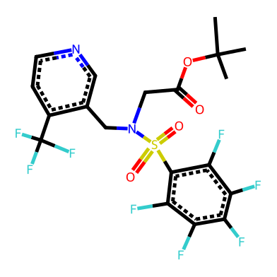 CC(C)(C)OC(=O)CN(Cc1cnccc1C(F)(F)F)S(=O)(=O)c1c(F)c(F)c(F)c(F)c1F